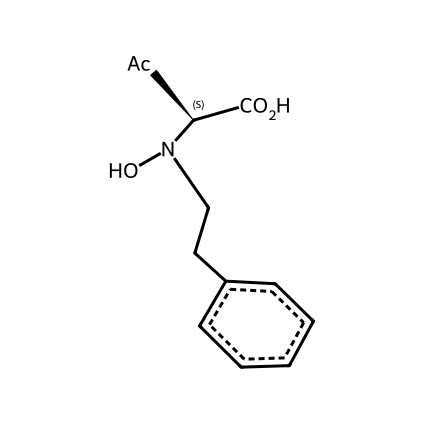 CC(=O)[C@@H](C(=O)O)N(O)CCc1ccccc1